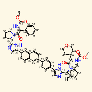 COC(=O)N[C@H](C(=O)N1[C@@H]2CC[C@@H](C2)[C@H]1c1ncc(-c2ccc(-c3ccc4cc(-c5cnc([C@@H]6CCCN6C(=O)[C@H](NC(=O)OC)c6ccccc6)[nH]5)ccc4c3)cc2)[nH]1)C1CCOCC1